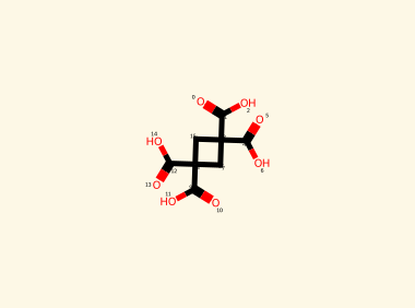 O=C(O)C1(C(=O)O)CC(C(=O)O)(C(=O)O)C1